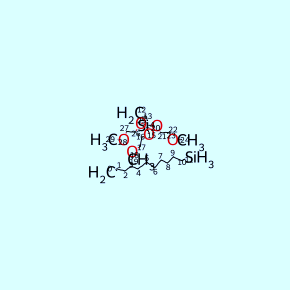 C=CCCCCCCCCC[SiH3].C=C[Si](OCCOC)(OCCOC)OCCOC